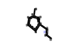 C/C=C/c1cccc(C)n1